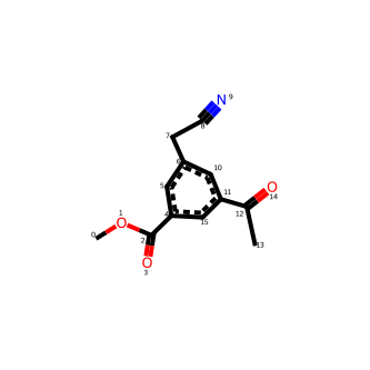 COC(=O)c1cc(CC#N)cc(C(C)=O)c1